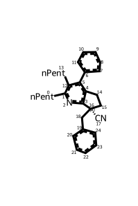 CCCCCc1nc2c(c(-c3ccccc3)c1CCCCC)CC[C@@]2(C#N)Cc1ccccc1